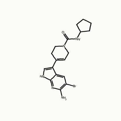 Nc1nc2[nH]cc(C3=CCN(C(=O)NC4CCCC4)CC3)c2cc1Br